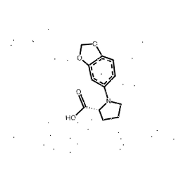 O=C(O)[C@H]1CCCN1c1ccc2c(c1)OCO2